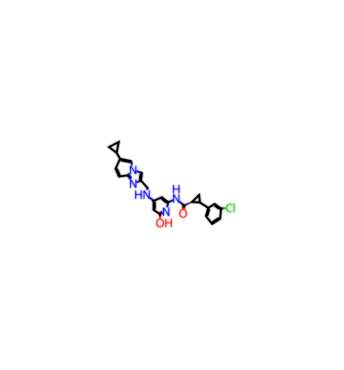 O=C(Nc1cc(NCc2cn3cc(C4CC4)ccc3n2)cc(O)n1)[C@H]1CC1c1cccc(Cl)c1